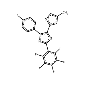 Cc1csc(-c2sc(-c3c(F)c(F)c(F)c(F)c3F)nc2-c2ccc(F)cc2)c1